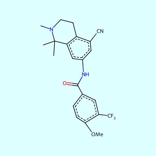 COc1ccc(C(=O)Nc2cc(C#N)c3c(c2)C(C)(C)N(C)CC3)cc1C(F)(F)F